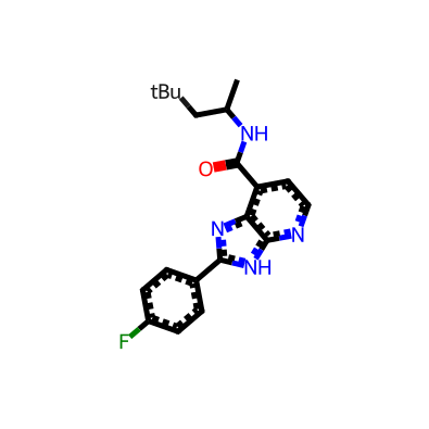 CC(CC(C)(C)C)NC(=O)c1ccnc2[nH]c(-c3ccc(F)cc3)nc12